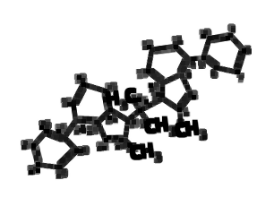 CC1=Cc2c(-c3ccccc3)cccc2C1C(C)(C)C1C(C)=Cc2c(-c3ccccc3)cccc21